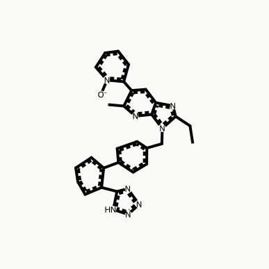 CCc1nc2cc(-c3cccc[n+]3[O-])c(C)nc2n1Cc1ccc(-c2ccccc2-c2nnn[nH]2)cc1